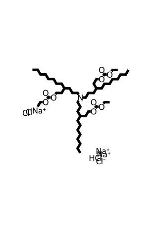 CCCCCCCCC(CCCN(CCCC(CCCCCCCC)CCOC(=O)OCC)CCCC(CCCCCCCC)CCOC(=O)OCC)CCOC(=O)OCC.Cl.[Cl-].[Cl-].[Cl-].[Na+].[Na+].[Na+]